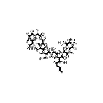 C/C=C/C[C@@H](C)[C@H](O)C(C(=O)N[C@H](CC)C(=O)N(C)CC(=O)N(C)[C@H](C(N)=O)C(C)CC)N(C)C(=O)[C@H](C(C)C)N(C)C(=O)[C@@H](CC(C)C)N(C)C(=O)[C@@H](CC(C)C)N(C)C(=O)[C@H](C)NC(=O)[C@@H](C)NC(=O)[C@H](C)N(C)C(=O)[C@H](C)CC(C)C